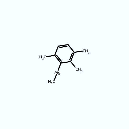 [CH3][Mg][c]1c(C)ccc(C)c1C